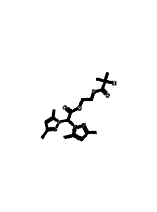 CCC(C)(C)C(=O)OCCOC(=O)C(n1nc(C)cc1C)n1nc(C)cc1C